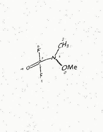 CON(C)P(=O)(F)F